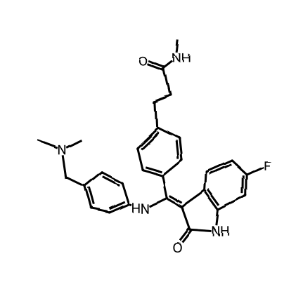 CNC(=O)CCc1ccc(/C(Nc2ccc(CN(C)C)cc2)=C2/C(=O)Nc3cc(F)ccc32)cc1